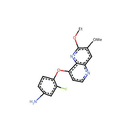 CCOc1nc2c(Oc3ccc(N)cc3F)ccnc2cc1OC